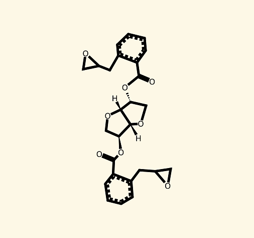 O=C(O[C@H]1CO[C@H]2[C@@H]1OC[C@H]2OC(=O)c1ccccc1CC1CO1)c1ccccc1CC1CO1